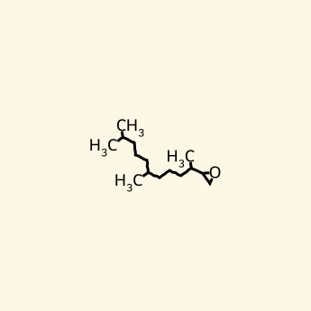 CC(C)CCCC(C)CCCC(C)C1CO1